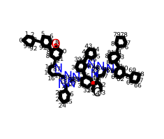 c1ccc(-c2ccc3oc4ccc(-c5cccc(-c6nc(-c7ccccc7)nc(-n7c8ccccc8c8c7ccc7c9ccccc9n(-c9nc(-c%10ccccc%10)cc(-n%10c%11ccc(-c%12ccccc%12)cc%11c%11cc(-c%12ccccc%12)ccc%11%10)n9)c78)n6)n5)cc4c3c2)cc1